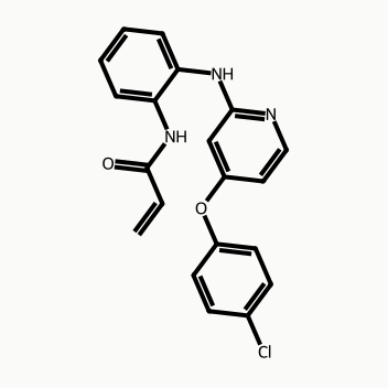 C=CC(=O)Nc1ccccc1Nc1cc(Oc2ccc(Cl)cc2)ccn1